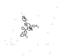 CCOC(=O)c1cnn2c(C)cc(-c3ccns3)nc12